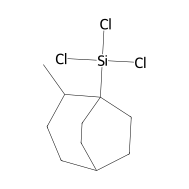 CC1CCC2CCC1([Si](Cl)(Cl)Cl)CC2